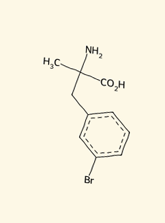 CC(N)(Cc1cccc(Br)c1)C(=O)O